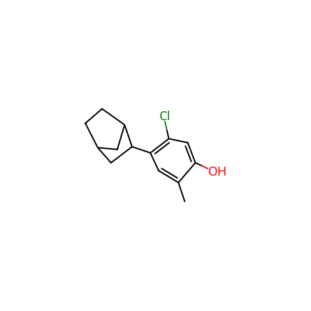 Cc1cc(C2CC3CCC2C3)c(Cl)cc1O